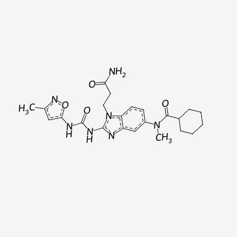 Cc1cc(NC(=O)Nc2nc3cc(N(C)C(=O)C4CCCCC4)ccc3n2CCC(N)=O)on1